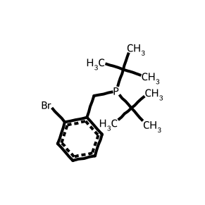 CC(C)(C)P(Cc1ccccc1Br)C(C)(C)C